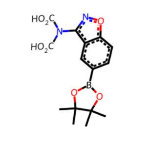 CC1(C)OB(c2ccc3onc(N(C(=O)O)C(=O)O)c3c2)OC1(C)C